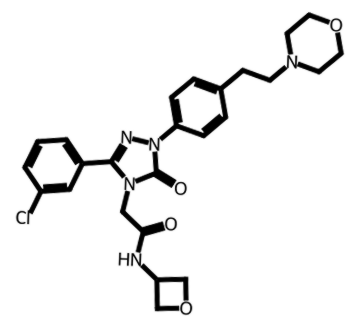 O=C(Cn1c(-c2cccc(Cl)c2)nn(-c2ccc(CCN3CCOCC3)cc2)c1=O)NC1COC1